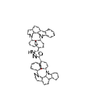 c1ccc(-n2ccc3ccc4c5ccccc5n(-c5ccc(C6=NNC(c7ccc(-n8c9ccccc9c9ccc%10ccn(-c%11ccccc%11)c%10c98)cc7)O6)cc5)c4c32)cc1